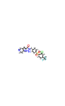 O=C(NCc1ccc(S(=O)(=O)c2ccc(C(F)(F)F)cc2Cl)cc1)c1cc2cnccc2[nH]1